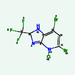 FC(F)(F)C1N=C2C(=C(Br)C=C(Br)N2Cl)N1